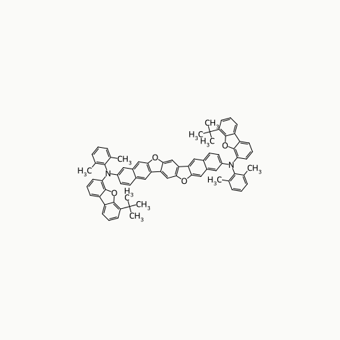 Cc1cccc(C)c1N(c1ccc2cc3c(cc2c1)oc1cc2c(cc13)oc1cc3cc(N(c4c(C)cccc4C)c4cccc5c4oc4c(C(C)(C)C)cccc45)ccc3cc12)c1cccc2c1oc1c(C(C)(C)C)cccc12